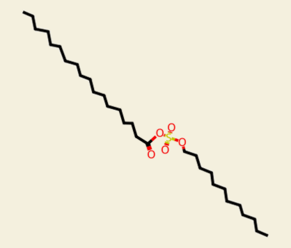 CCCCCCCCCCCCCCCCCC(=O)OS(=O)(=O)OCCCCCCCCCCCC